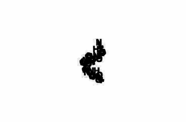 Cc1cc(NC(=O)c2cccc(C(C)(C)C#N)c2)c2ccccc2c1Oc1ncccc1-c1ccnc(N[C@H]2CCCN(C(=O)OC(C)(C)C)C2)n1